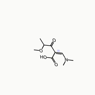 COC(C)C(=O)/C(=C/N(C)C)C(=O)O